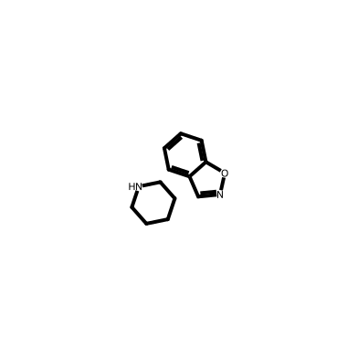 C1CCNCC1.c1ccc2oncc2c1